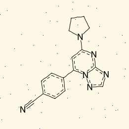 N#Cc1ccc(-c2cc(N3CCCC3)nc3ncnn23)cc1